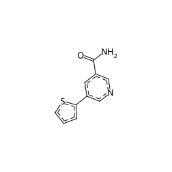 NC(=O)c1cncc(-c2cccs2)c1